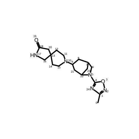 Cc1noc(N2CC3CC(N4CCC5(CC4)CNC(=O)C5)CC2C3)n1